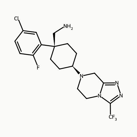 NC[C@]1(c2cc(Cl)ccc2F)CC[C@H](N2CCn3c(nnc3C(F)(F)F)C2)CC1